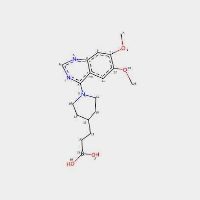 COc1cc2ncnc(N3CCC(CCB(O)O)CC3)c2cc1OC